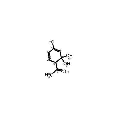 CC(=O)C1C=CC(Cl)=CC1(O)O